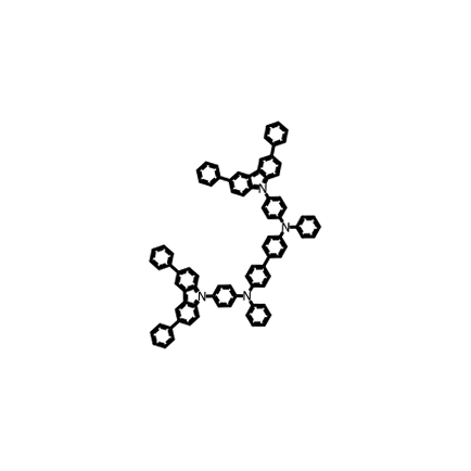 c1ccc(-c2ccc3c(c2)c2cc(-c4ccccc4)ccc2n3-c2ccc(N(c3ccccc3)c3ccc(-c4ccc(N(c5ccccc5)c5ccc(-n6c7ccc(-c8ccccc8)cc7c7cc(-c8ccccc8)ccc76)cc5)cc4)cc3)cc2)cc1